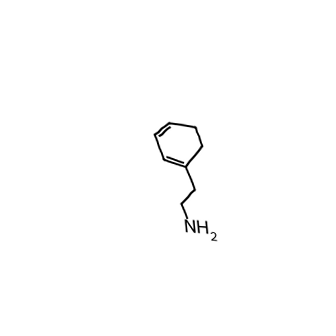 NCCC1=CC=CCC1